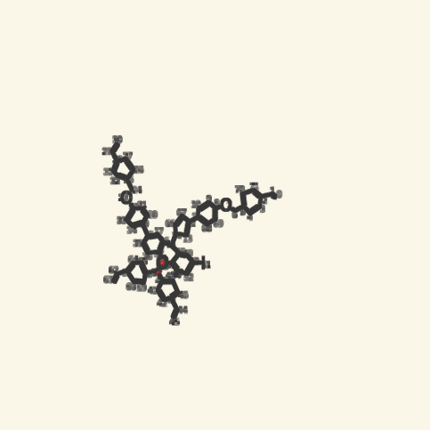 C=Cc1ccc(COc2ccc(C3=CC(C(c4cc(-c5ccc(OCc6ccc(C=C)cc6)cc5)ccc4OCc4ccc(C=C)cc4)c4cc(I)cc(C)c4OCc4ccc(C=C)cc4)C=C3)cc2)cc1